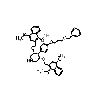 COc1cc(CO[C@H]2CNC[C@@H](OCc3cc(OC)c4ccccc4c3OC)C2c2ccc(OCCCOCc3ccccc3)cc2)c(OC)c2ccccc12